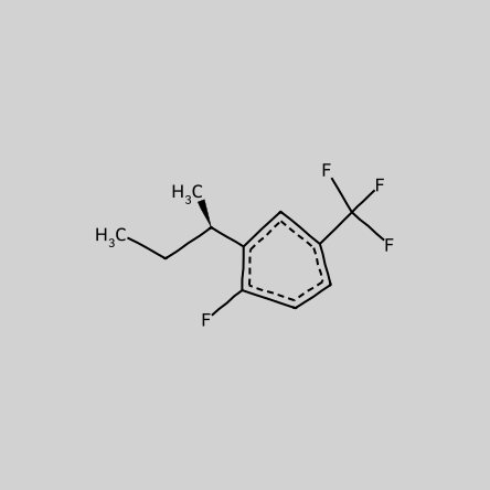 CC[C@@H](C)c1cc(C(F)(F)F)ccc1F